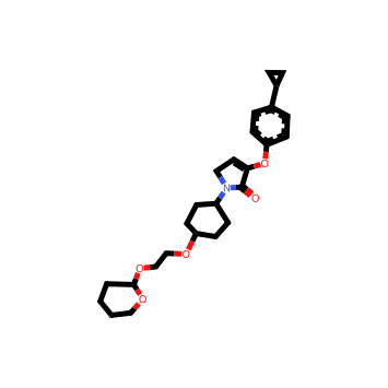 O=C1C(Oc2ccc(C3CC3)cc2)=CCN1C1CCC(OCCOC2CCCCO2)CC1